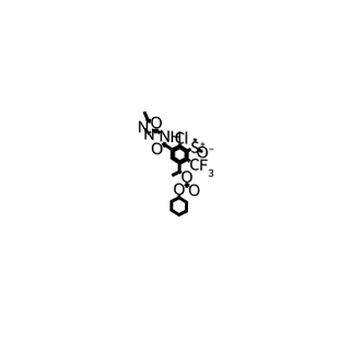 Cc1nnc(NC(=O)c2cc(C(C)OC(=O)OC3CCCCC3)c(C(F)(F)F)c([S+](C)[O-])c2Cl)o1